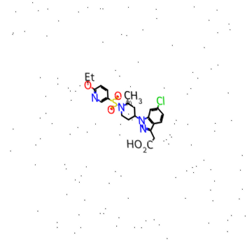 CCOc1ccc(S(=O)(=O)N2CCC(n3nc(CC(=O)O)c4ccc(Cl)cc43)C[C@H]2C)cn1